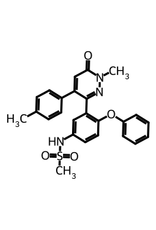 Cc1ccc(-c2cc(=O)n(C)nc2-c2cc(NS(C)(=O)=O)ccc2Oc2ccccc2)cc1